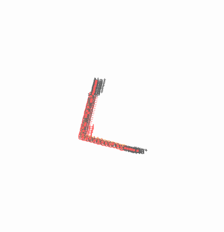 O=PO.O=PO.O=PO.O=PO.O=PO.O=PO.O=PO.O=PO.O=PO.O=PO.O=P[O-].O=P[O-].O=P[O-].O=P[O-].O=P[O-].O=P[O-].O=P[O-].O=P[O-].O=P[O-].O=P[O-].O=P[O-].O=P[O-].O=P[O-].O=P[O-].O=P[O-].O=P[O-].O=P[O-].O=P[O-].O=P[O-].O=P[O-].O=P[O-].O=P[O-].O=P[O-].O=P[O-].O=P[O-].[Na+].[Na+].[Na+].[Na+].[Na+].[Na+].[Na+].[Na+].[Na+].[Na+].[Na+].[Na+].[Na+].[Na+].[Na+].[Na+].[Na+].[Na+].[Na+].[Na+].[Na+].[Na+].[Na+].[Na+].[Na+]